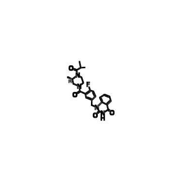 CC(C)C(=O)N1CCN(C(=O)c2cc(Cn3c(=O)[nH]c(=O)c4ccccc43)ccc2F)C[C@H]1C